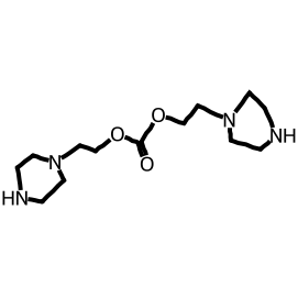 O=C(OCCN1CCNCC1)OCCN1CCNCC1